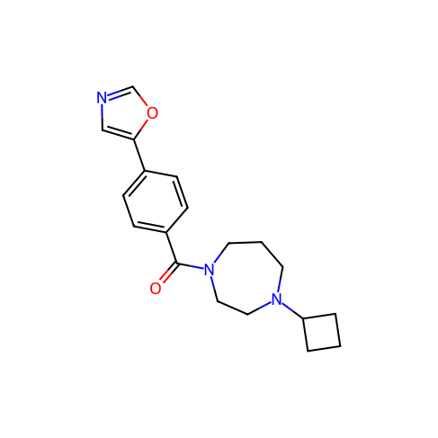 O=C(c1ccc(-c2cnco2)cc1)N1CCCN(C2CCC2)CC1